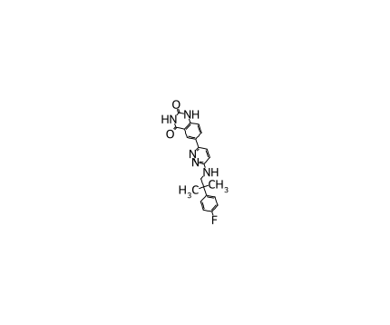 CC(C)(CNc1ccc(-c2ccc3[nH]c(=O)[nH]c(=O)c3c2)nn1)c1ccc(F)cc1